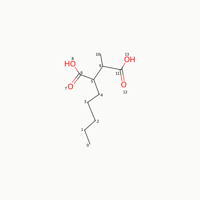 CCCCCC(C(=O)O)C(C)C(=O)O